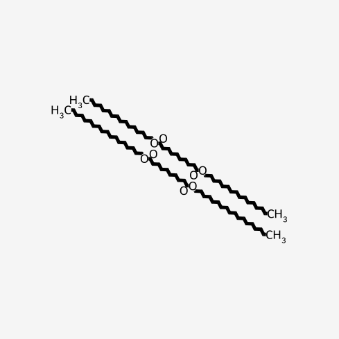 CCCCCCCCCCCCCCCCCCOC(=O)CCCCCCCCC(=O)OCCCCCCCCCCCCCCCCCC.CCCCCCCCCCCCCCCCOC(=O)CCCCCCCCC(=O)OCCCCCCCCCCCCCCCC